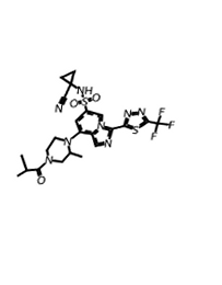 CC(C)C(=O)N1CCN(c2cc(S(=O)(=O)NC3(C#N)CC3)cn3c(-c4nnc(C(F)(F)F)s4)ncc23)C(C)C1